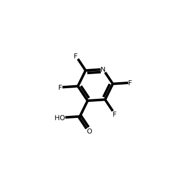 O=C(O)c1c(F)c(F)nc(F)c1F